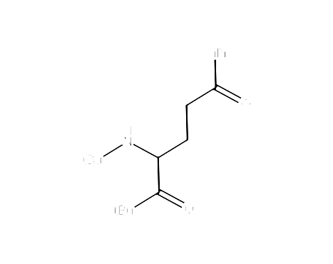 CC(C)C(=O)CCC(NC(C)(C)C)C(=O)C(C)(C)C